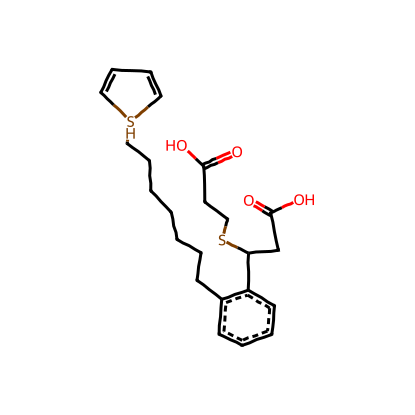 O=C(O)CCSC(CC(=O)O)c1ccccc1CCCCCCC[SH]1C=CC=C1